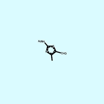 CC(=O)Nc1nc(C)c(C=O)s1